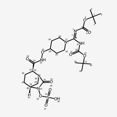 CC(C)(C)OC(=O)/N=C(\NC(=O)OC(C)(C)C)N1CCC(ONC(=O)[C@@H]2CC[C@@H]3CN2C(=O)N3OS(=O)(=O)O)CC1